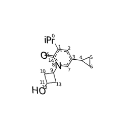 CC(C)c1cc(C2CC2)cn(C2CC(O)C2)c1=O